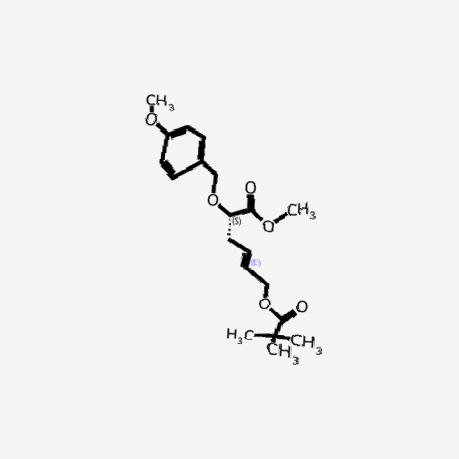 COC(=O)[C@H](C/C=C/COC(=O)C(C)(C)C)OCc1ccc(OC)cc1